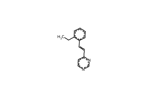 CCc1[c]cccc1C=Cc1ccncn1